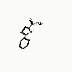 COC(=O)[C@@H]1CC[C@H](C2CCCCC2)N1